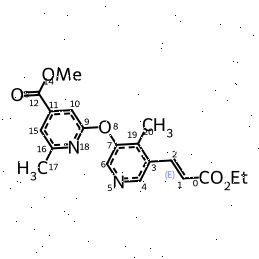 CCOC(=O)/C=C/c1cncc(Oc2cc(C(=O)OC)cc(C)n2)c1C